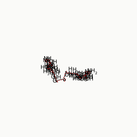 CC(C)(COP(=O)(O)OP(=O)(O)OCC1OC(n2cnc3c(N)ncnc32)C(O)C1OP(=O)(O)O)C(O)C(=O)NCCC(=O)NCCC(=O)C1(CCCCCc2ccccc2CCCCCC2(C(=O)CCNC(=O)CCNC(=O)C(O)C(C)(C)COP(=O)(O)OP(=O)(O)OCC3OC(n4cnc5c(N)ncnc54)C(O)C3OP(=O)(O)O)CC2)CC1